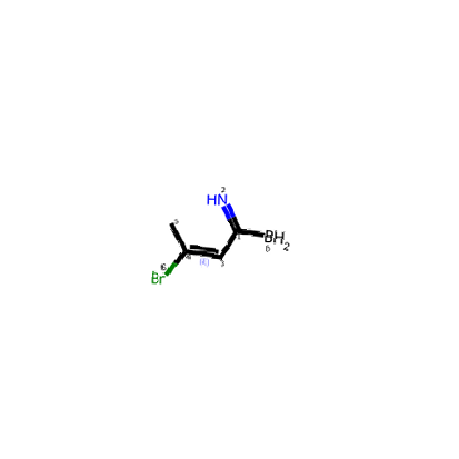 BC(=N)/C=C(\C)Br